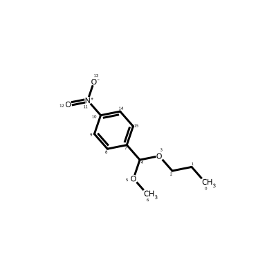 CCCOC(OC)c1ccc([N+](=O)[O-])cc1